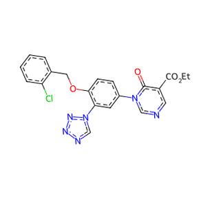 CCOC(=O)c1cncn(-c2ccc(OCc3ccccc3Cl)c(-n3cnnn3)c2)c1=O